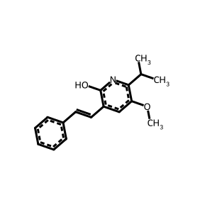 COc1cc(/C=C/c2ccccc2)c(O)nc1C(C)C